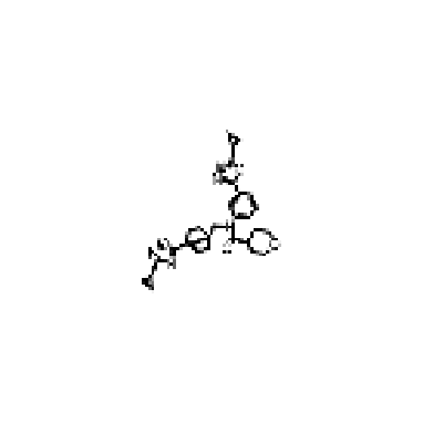 O=C(C1CCOCC1)N(CC12CCC(c3nc(C4CC4)no3)=C(C1)C2)c1cccc(-c2nnc(C3CC3)o2)c1